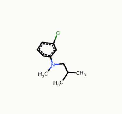 CC(C)CN(C)c1cccc(Cl)c1